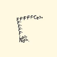 [Ce+3].[F-].[F-].[F-].[F-].[F-].[F-].[F-].[F-].[F-].[La+3].[Nd+3]